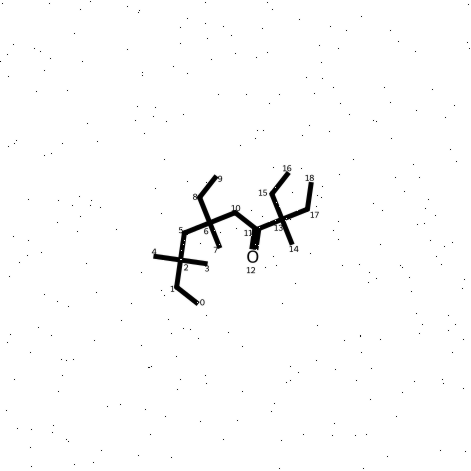 CCC(C)(C)CC(C)(CC)CC(=O)C(C)(CC)CC